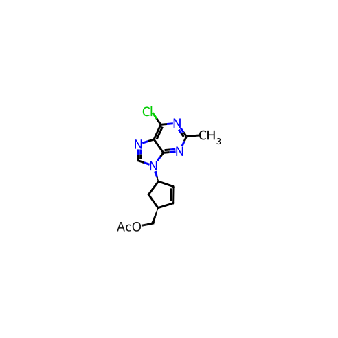 CC(=O)OC[C@@H]1C=C[C@H](n2cnc3c(Cl)nc(C)nc32)C1